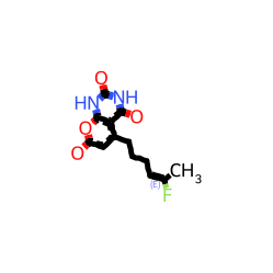 C/C(F)=C\CCCc1cc(=O)oc2[nH]c(=O)[nH]c(=O)c12